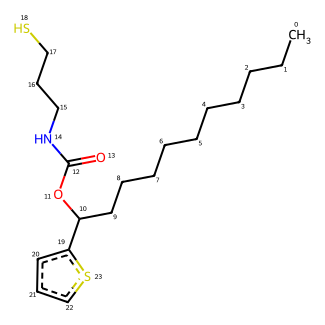 CCCCCCCCCCC(OC(=O)NCCCS)c1cccs1